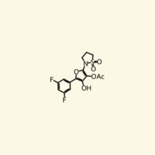 CC(=O)Oc1c(N2CCCS2(=O)=O)oc(-c2cc(F)cc(F)c2)c1O